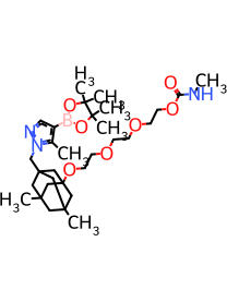 CNC(=O)OCCOCCOCCOC12CC3(C)CC(C)(CC(Cn4ncc(B5OC(C)(C)C(C)(C)O5)c4C)(C3)C1)C2